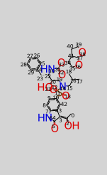 C/C(O)=C1/C(=O)Nc2ccc(S(=O)(=O)N(CC(C)C)C[C@@H](O)[C@H](Cc3ccccc3)NC(=O)O[C@H]3COC4OCCC43)cc21